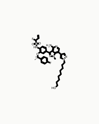 C=CC(F)S(=O)(=O)Nc1ccc(-c2nn(C)c3c(-c4cnn(CCCCCCCCCO)c4)cnc(N)c23)cc1O[C@@H](C)c1ccc(F)cc1